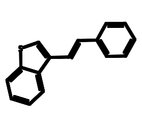 C(=C\c1csc2ccccc12)/c1ccccc1